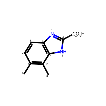 Cc1ccc2nc(C(=O)O)[nH]c2c1C